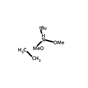 CC.CO[SiH](OC)C(C)(C)C